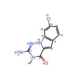 CN(C(=N)N)C(=O)c1cc2ccc(Cl)cc2[nH]1